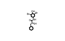 O=C(Nc1cc(Br)c(O)c(Br)c1)N(S)Cc1ccccc1